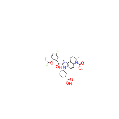 COC(=O)N1c2ccc3c(nc(C(O)c4cc(F)ccc4OC(F)F)n3[C@@H]3CCC[C@@H](C(=O)O)C3)c2CC[C@@H]1C